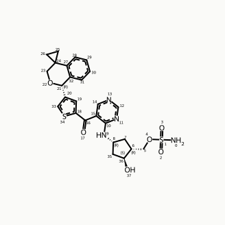 NS(=O)(=O)OC[C@H]1C[C@@H](Nc2ncncc2C(=O)c2cc([C@@H]3OCC4(CC4)c4ccccc43)cs2)C[C@@H]1O